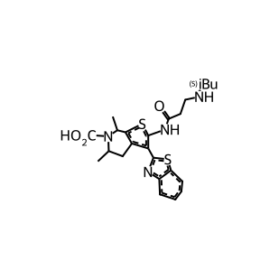 CC[C@H](C)NCCC(=O)Nc1sc2c(c1-c1nc3ccccc3s1)CC(C)N(C(=O)O)C2C